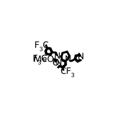 COC(=O)N(Cc1cc(C(F)(F)F)cc(C(F)(F)F)c1)C1CCCN(Cc2ccncc2)c2cc(C(F)(F)F)c(C)nc21